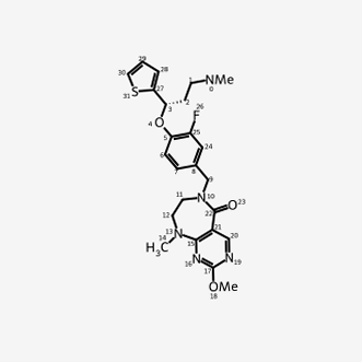 CNCC[C@H](Oc1ccc(CN2CCN(C)c3nc(OC)ncc3C2=O)cc1F)c1cccs1